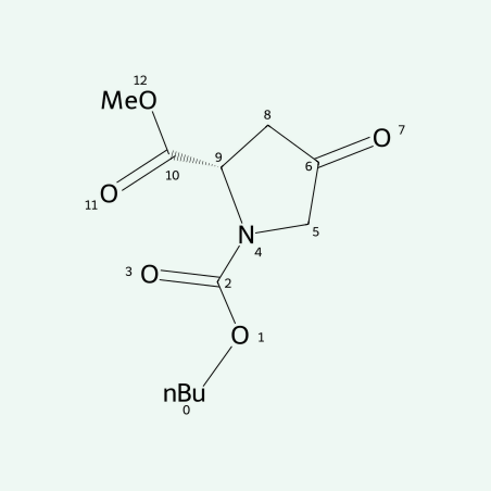 CCCCOC(=O)N1CC(=O)C[C@H]1C(=O)OC